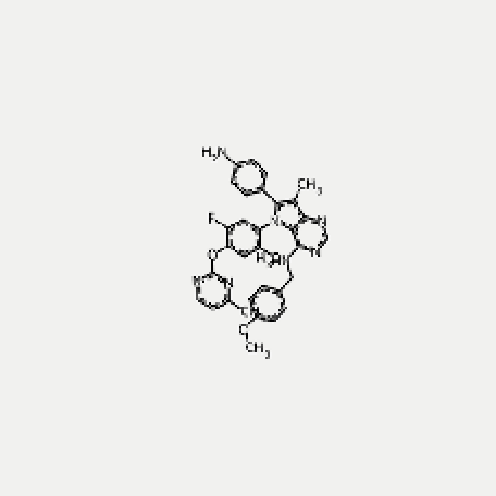 COc1ccc(CNc2ncnc3c(C)c(-c4ccc(N)cc4)n(-c4cc(F)c(Oc5nccc(C)n5)cc4C)c23)cc1